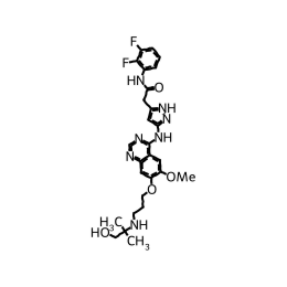 COc1cc2c(Nc3cc(CC(=O)Nc4cccc(F)c4F)[nH]n3)ncnc2cc1OCCCNC(C)(C)CO